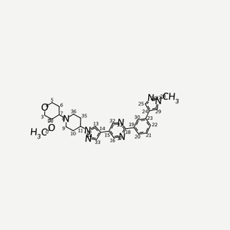 CO[C@@H]1COCCC1N1CCC(n2cc(-c3cnc(-c4cccc(-c5cnn(C)c5)c4)nc3)cn2)CC1